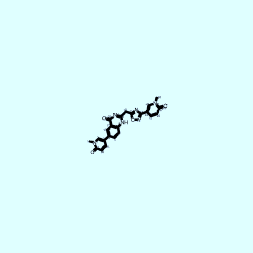 Cn1cc(-c2ccc3[nH]c(Cc4nc(-c5ccc(=O)n(C)c5)no4)nc(=O)c3c2)ccc1=O